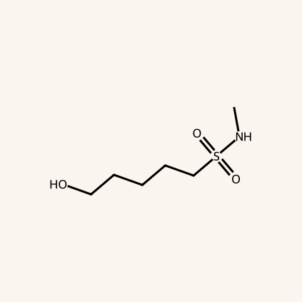 CNS(=O)(=O)CCCCCO